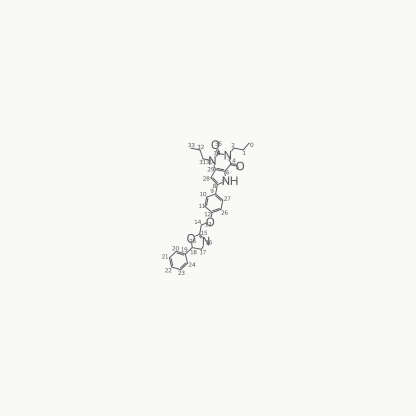 CCCn1c(=O)c2[nH]c(-c3ccc(OCC4=NCC(c5ccccc5)O4)cc3)cc2n(CCC)c1=O